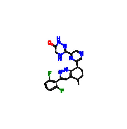 CC1CCC(c2cncc(C3=NNC(=O)CN3)n2)c2nnc(-c3c(F)cccc3F)cc21